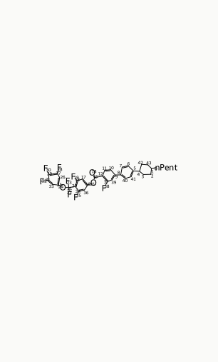 CCCCCC1CCC(c2ccc(-c3ccc(C(=O)Oc4cc(F)c(C(F)(F)Oc5cc(F)c(F)c(F)c5)c(F)c4)c(F)c3)cc2)CC1